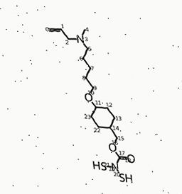 C=CCN(C)CCCCCOC1CCC(COC(=O)N(S)S)CC1